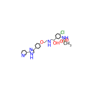 CS(=O)(=O)Nc1cc([C@@H](O)CNCCOc2ccc(-c3c[nH]c(-c4cccnc4)n3)cc2)ccc1Cl